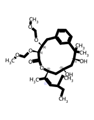 CCC(/C=C(/C)[C@@H]1C[C@@H](O)C[C@H](O)C(C)(C)c2cccc(c2)C[C@@H](OCOC)[C@H](OCOC)C(=O)O1)CC